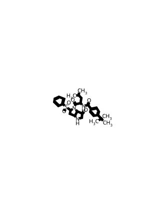 CC(C)CC(NC(=O)c1ccc(C(C)(C)C)cc1)C(=O)N1C2C(=O)CNC2CC1S(=O)(=O)c1ccccc1